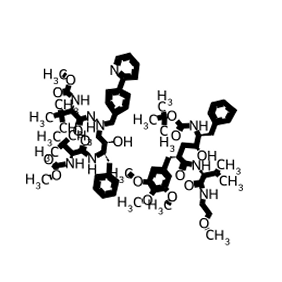 COC(=O)N[C@H](C(=O)N[C@@H](Cc1ccccc1)[C@@H](O)CN(Cc1ccc(-c2ccccn2)cc1)NC(=O)[C@@H](NC(=O)OC)C(C)(C)C)C(C)(C)C.COCCNC(=O)[C@@H](NC(=O)[C@H](Cc1cc(OC)c(OC)c(OC)c1)C[C@H](O)[C@H](Cc1ccccc1)NC(=O)OC(C)(C)C)C(C)C